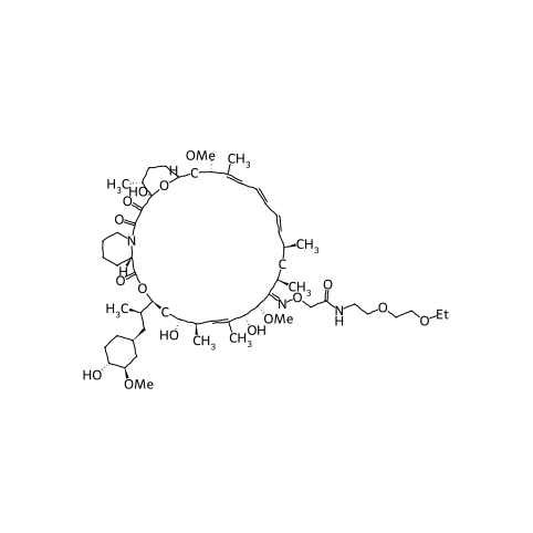 CCOCCOCCNC(=O)CO/N=C1\[C@H](C)C[C@H](C)/C=C/C=C/C=C(\C)[C@@H](OC)C[C@@H]2CC[C@@H](C)[C@@](O)(O2)C(=O)C(=O)N2CCCC[C@H]2C(=O)O[C@H]([C@H](C)C[C@@H]2CC[C@@H](O)[C@H](OC)C2)C[C@@H](O)[C@H](C)/C=C(\C)[C@@H](O)[C@H]1OC